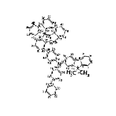 CC1(C)c2ccccc2-c2ccc(N(c3ccc(-c4ccccc4)cc3)c3ccc(-c4cccc5c4-c4sc6ccccc6c4C5(c4ccccc4)c4ccccc4)cc3)cc21